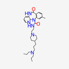 CCCN(CCC)CCCC1CCN(CCNC(=O)N2c3cc(C)ccc3C(=O)Nc3cccnc32)CC1